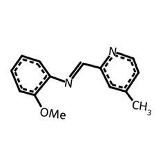 COc1ccccc1N=Cc1cc(C)ccn1